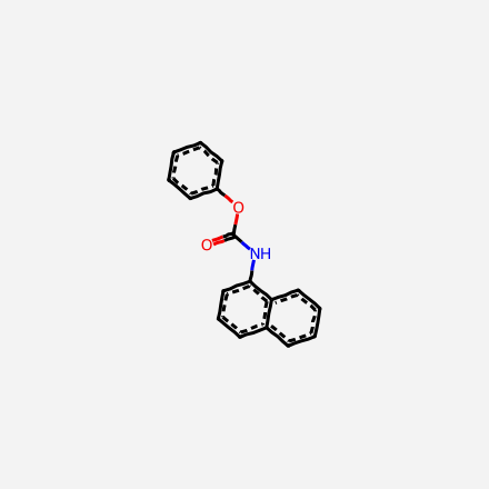 O=C(Nc1cccc2ccccc12)Oc1ccccc1